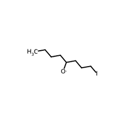 CCCCC([O])CCCI